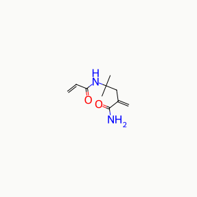 C=CC(=O)NC(C)(C)CC(=C)C(N)=O